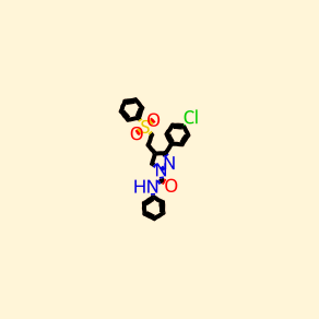 O=C(Nc1ccccc1)N1CC(CCS(=O)(=O)c2ccccc2)C(c2ccc(Cl)cc2)=N1